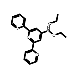 CCO[SiH](OCC)c1cc(-c2ccccn2)nc(-c2ccccn2)c1